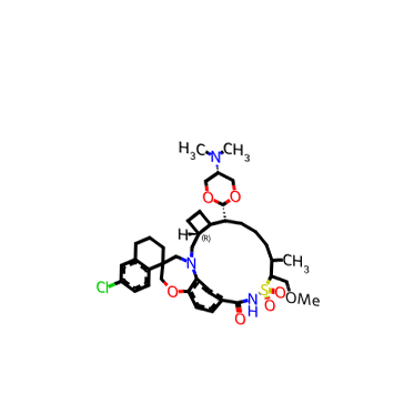 COCC1C(C)CCCC([C@H]2OC[C@@H](N(C)C)CO2)C2CC[C@H]2CN2CC3(CCCc4cc(Cl)ccc43)COc3ccc(cc32)C(=O)NS1(=O)=O